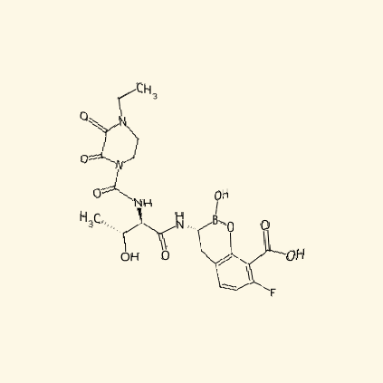 CCN1CCN(C(=O)N[C@@H](C(=O)N[C@H]2Cc3ccc(F)c(C(=O)O)c3OB2O)[C@@H](C)O)C(=O)C1=O